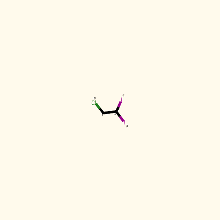 ClCC(I)I